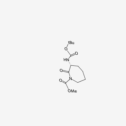 COC(=O)N1CCCC[C@@H](NC(=O)OC(C)(C)C)C1=O